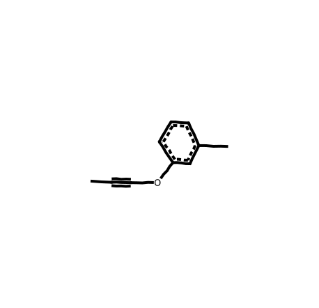 CC#COc1cccc(C)c1